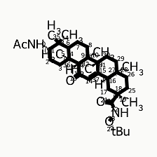 CC(=O)N[C@H]1CC[C@@]2(C)C(CC[C@]3(C)[C@@H]2C(=O)C=C2[C@@H]4C[C@@](C)(C(=O)NOC(C)(C)C)CC[C@]4(C)CC[C@]23C)C1(C)C